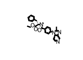 CCOC(=O)[C@H](Cc1ccccc1)N(C)C(=O)c1ccc(-n2c(C)nc3cnccc32)cc1